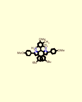 COC1=CCC(c2cc(-c3ccc(C(C)(C)C)cc3)c(C(c3[nH]c(-c4ccc(OC)cc4)cc3-c3ccc(C(C)(C)C)cc3)c3c(C)cc(OC)c(C)c3C)[nH]2)C=C1